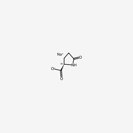 O=C1CC[C@H](C(=O)[O-])N1.[Na+]